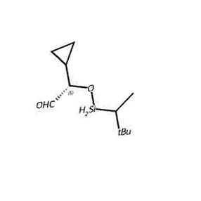 CC([SiH2]O[C@H](C=O)C1CC1)C(C)(C)C